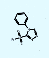 CC(C)S(=O)(=O)c1nnnn1-c1ccccc1